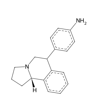 Nc1ccc(C2CN3CCC[C@H]3c3ccccc32)cc1